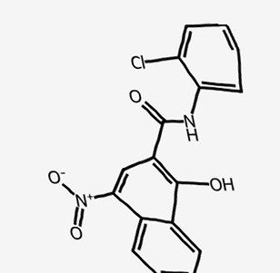 O=C(Nc1ccccc1Cl)c1cc([N+](=O)[O-])c2ccccc2c1O